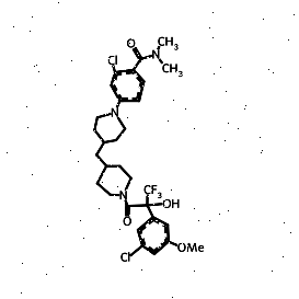 COc1cc(Cl)cc(C(O)(C(=O)N2CCC(CC3CCN(c4ccc(C(=O)N(C)C)c(Cl)c4)CC3)CC2)C(F)(F)F)c1